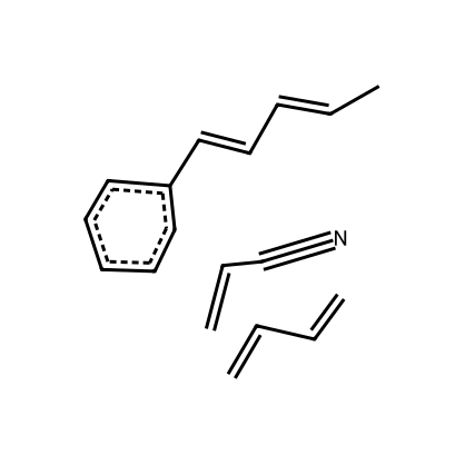 C=CC#N.C=CC=C.CC=CC=Cc1ccccc1